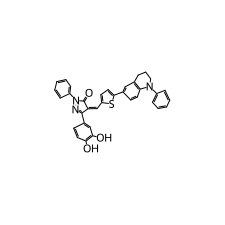 O=C1/C(=C\c2ccc(-c3ccc4c(c3)CCCN4c3ccccc3)s2)C(c2ccc(O)c(O)c2)=NN1c1ccccc1